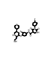 N=C/C=C1\NC=C(c2ccncc2)C=C1Oc1ccc(NC(=O)c2c[nH]c(=O)n(-c3ccc(F)cc3)c2=O)cc1F